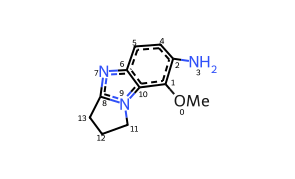 COc1c(N)ccc2nc3n(c12)CCC3